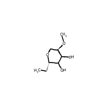 CC[C@@H]1OC[C@@H](OC)C(O)C1O